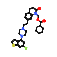 O=C(OCN1C(=O)CCc2ccc(CCN3CCN(c4cc(F)cc5sccc45)CC3)cc21)C1CCCCC1